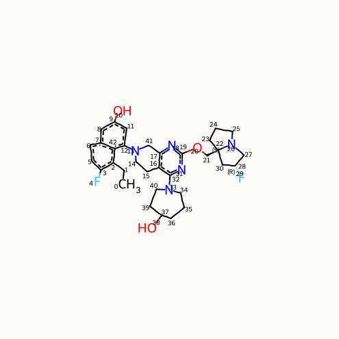 CCc1c(F)ccc2cc(O)cc(N3CCc4c(nc(OC[C@@]56CCCN5C[C@H](F)C6)nc4N4CCCC(O)CC4)C3)c12